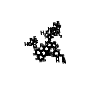 Cc1cc2c(nc(N3CC(C)(N(C)C)C3)c3cnn([C@H]4CCN[C@H](CC#N)C4)c32)c(F)c1-c1cccc2cccc(C#N)c12.O=C(O)C(F)(F)F.O=C(O)C(F)(F)F